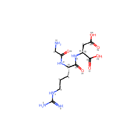 N=C(N)NCCC[C@H](NC(=O)CN)C(=O)N[C@@H](CC(=O)O)C(=O)O